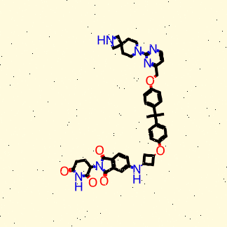 CC(C)(c1ccc(OCc2ccnc(N3CCC4(CC3)CNC4)n2)cc1)c1ccc(O[C@H]2C[C@@H](Nc3ccc4c(c3)C(=O)N(C3CCC(=O)NC3=O)C4=O)C2)cc1